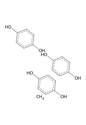 C.Oc1ccc(O)cc1.Oc1ccc(O)cc1.Oc1ccc(O)cc1